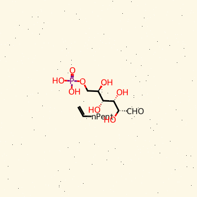 C=CCCCCC.O=C[C@H](O)[C@@H](O)[C@H](O)[C@H](O)COP(=O)(O)O